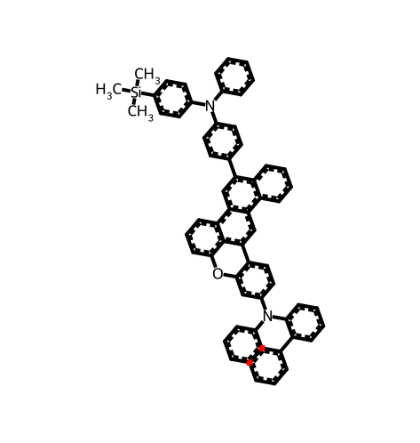 C[Si](C)(C)c1ccc(N(c2ccccc2)c2ccc(-c3cc4c5cccc6c5c(cc4c4ccccc34)-c3ccc(N(c4ccccc4)c4ccccc4-c4ccccc4)cc3O6)cc2)cc1